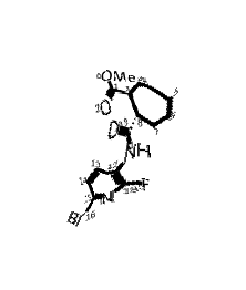 COC(=O)[C@H]1CCCC[C@@H]1C(=O)Nc1ccc(Br)nc1F